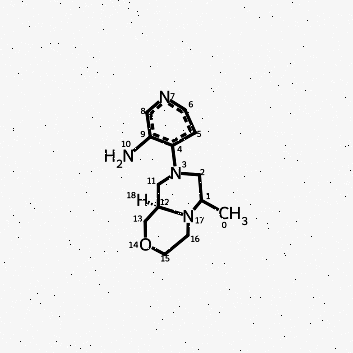 CC1CN(c2ccncc2N)C[C@@H]2COCCN12